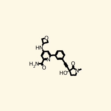 CN1CC[C@@](O)(C#Cc2cccc(-c3cc(NC4COC4)cc(C(N)=O)n3)c2)C1=O